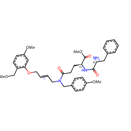 COCc1ccc(OC)cc1OC/C=C/CN(Cc1ccc(OC)cc1)C(=O)CC[C@H](NC(=O)[C@H](N)Cc1ccccc1)C(=O)OC